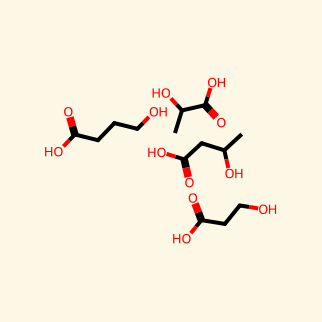 CC(O)C(=O)O.CC(O)CC(=O)O.O=C(O)CCCO.O=C(O)CCO